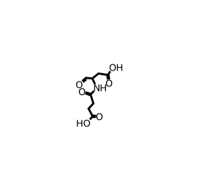 O=CC(CC(=O)O)NC(=O)CCC(=O)O